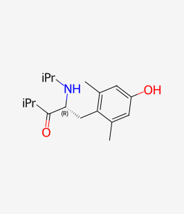 Cc1cc(O)cc(C)c1C[C@@H](NC(C)C)C(=O)C(C)C